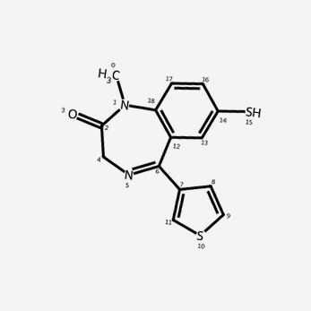 CN1C(=O)CN=C(c2ccsc2)c2cc(S)ccc21